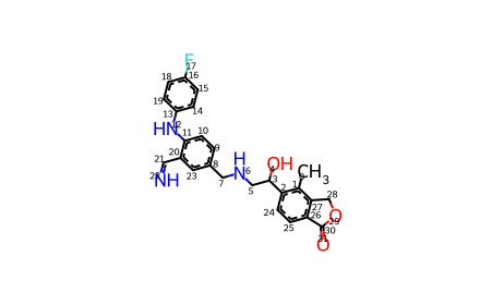 Cc1c(C(O)CNCc2ccc(Nc3ccc(F)cc3)c(C=N)c2)ccc2c1COC2=O